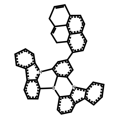 C1=Cc2ccc3ccc(-c4cc5c6c(c4)-n4c7ccccc7c7cccc(c74)B6c4cccc6c7ccccc7n-5c46)c4c3c2C(=CC4)C1